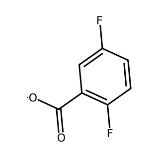 [O]C(=O)c1cc(F)ccc1F